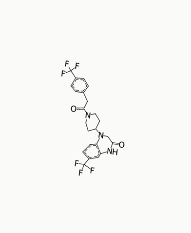 O=C1CN(C2CCN(C(=O)Cc3ccc(C(F)(F)F)cc3)CC2)c2ccc(C(F)(F)F)cc2N1